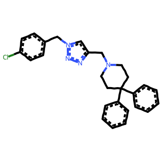 Clc1ccc(Cn2cc(CN3CCC(c4ccccc4)(c4ccccc4)CC3)nn2)cc1